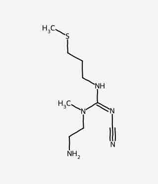 CSCCCN/C(=N/C#N)N(C)CCN